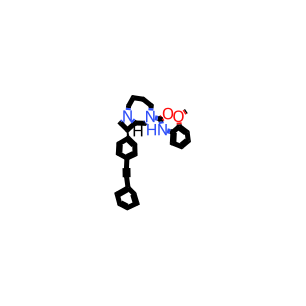 COc1ccccc1NC(=O)N1CCCCN2C[C@H](c3ccc(C#Cc4ccccc4)cc3)[C@@H]2C1